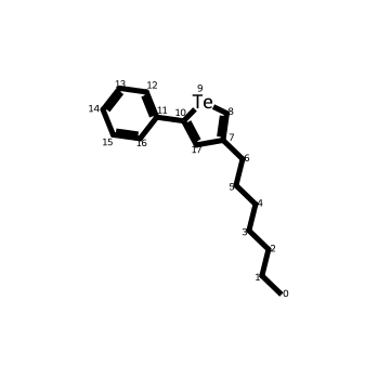 CCCCCCCc1c[te]c(-c2ccccc2)c1